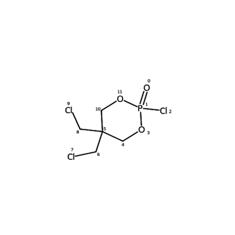 O=P1(Cl)OCC(CCl)(CCl)CO1